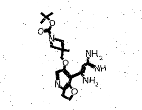 CC1(COc2cnc3c(c2/C(N)=C/C(=N)N)OCC3)CN(C(=O)OC(C)(C)C)C1